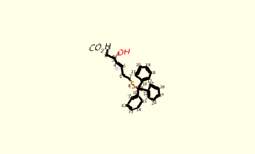 O=C(O)C[C@H](O)/C=C/CCSC(c1ccccc1)(c1ccccc1)c1ccccc1